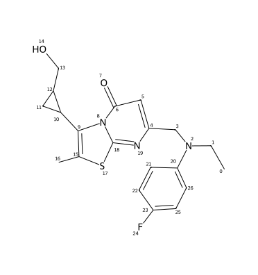 CCN(Cc1cc(=O)n2c(C3CC3CO)c(C)sc2n1)c1ccc(F)cc1